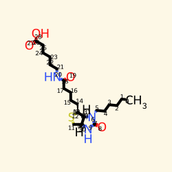 CCCCCCN1C(=O)N[C@H]2CS[C@@H](CCCCC(=O)NCCCCCC(=O)O)[C@H]21